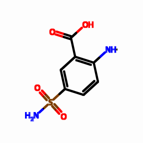 [NH]c1ccc(S(N)(=O)=O)cc1C(=O)O